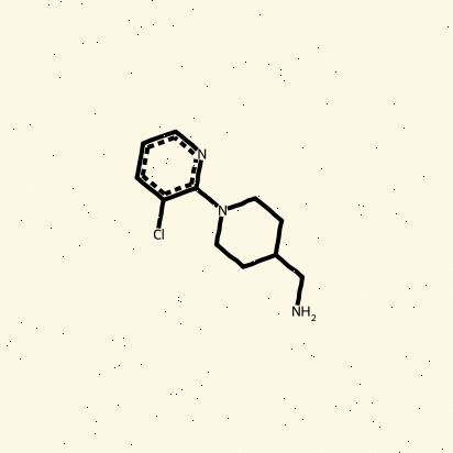 NCC1CCN(c2ncccc2Cl)CC1